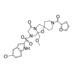 COCC12CN(S(=O)(=O)c3cc4cc(Cl)ccc4[nH]3)CC(=O)N1CC1(CCN(C(=O)c3ccco3)CC1)O2